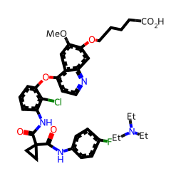 CCN(CC)CC.COc1cc2c(Oc3cccc(NC(=O)C4(C(=O)Nc5ccc(F)cc5)CC4)c3Cl)ccnc2cc1OCCCCC(=O)O